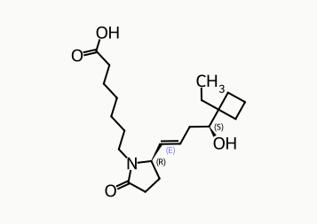 CCC1([C@@H](O)C/C=C/[C@H]2CCC(=O)N2CCCCCCC(=O)O)CCC1